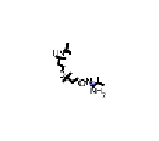 C=C(C)NC(C)(C)CCOC(C)(C)CCO/N=C(\N)C(C)C